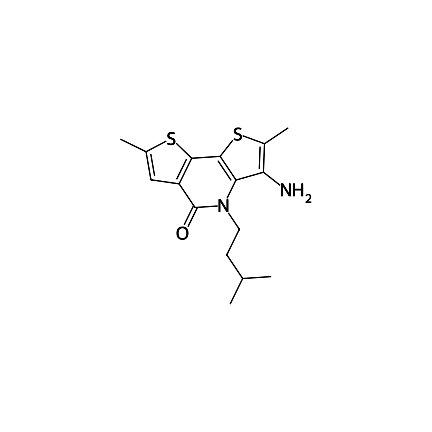 Cc1cc2c(=O)n(CCC(C)C)c3c(N)c(C)sc3c2s1